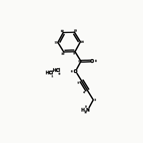 Cl.Cl.NCC#COC(=O)c1ccccc1